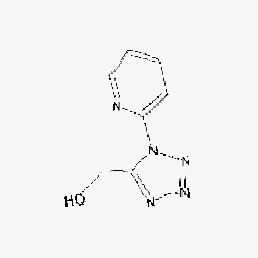 OCc1nnnn1-c1ccccn1